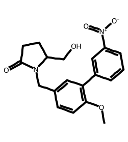 COc1ccc(CN2C(=O)CCC2CO)cc1-c1cccc([N+](=O)[O-])c1